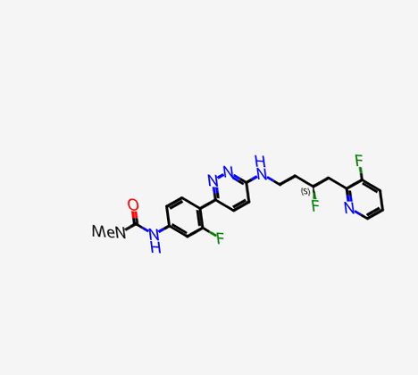 CNC(=O)Nc1ccc(-c2ccc(NCC[C@H](F)Cc3ncccc3F)nn2)c(F)c1